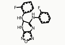 Fc1ccccc1NC1=Nc2nonc2NC1Nc1ccccc1F